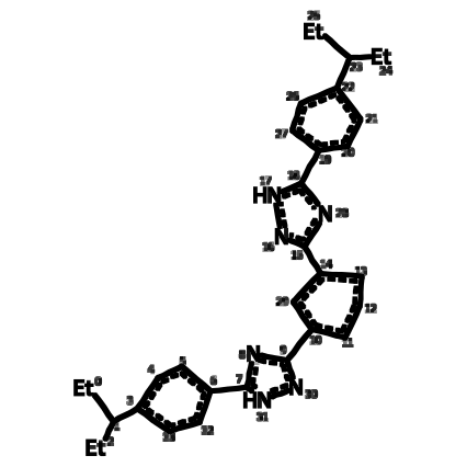 CCC(CC)c1ccc(-c2nc(-c3cccc(-c4n[nH]c(-c5ccc(C(CC)CC)cc5)n4)c3)n[nH]2)cc1